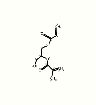 C=CC(=O)OCC(CO)OC(=O)C(=C)C